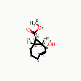 COC(=O)[C@@H]1[C@H]2CCC/C=C/[C@@H](O)[C@H]21